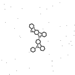 c1ccc(-n2c3ccccc3c3cc(-n4c5ccccc5c5cc6c(cc54)nc4ccccn46)ccc32)cc1